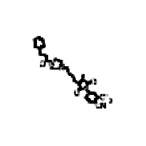 CC1=C(CCCCN2CCN(C(=O)CCc3ccccc3)CC2)C(=O)N(c2ccc(C#N)c(C(F)(F)F)c2)C1=O